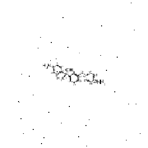 CC(C)(c1ccc(N)cc1)c1cccc(Cc2ccc(N)cc2)c1